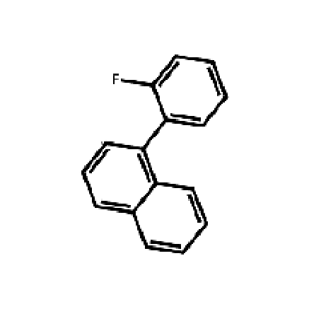 Fc1ccccc1-c1[c]ccc2ccccc12